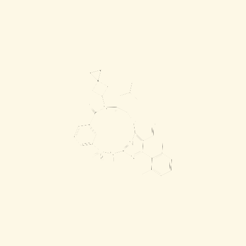 Cc1cccc(C)c1-c1nc2nc(c1C=O)OC[C@@H](CC(C)C)N(C1CC3(CC3)C1)C(=O)c1cccc(c1)S(=O)(=O)N2